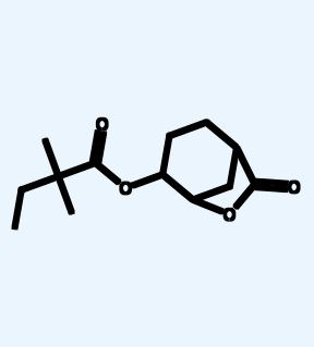 CCC(C)(C)C(=O)OC1CCC2CC1OC2=O